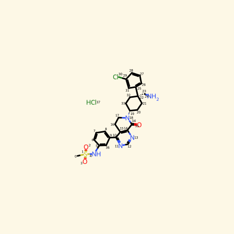 CS(=O)(=O)Nc1cccc(-c2ncnc3c2CCN([C@H]2CC[C@](CN)(c4cccc(Cl)c4)CC2)C3=O)c1.Cl